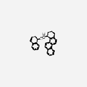 O=C1CC=Cc2ccccc21.OC1CCCc2ccc3c(ccc4ccccc43)c21